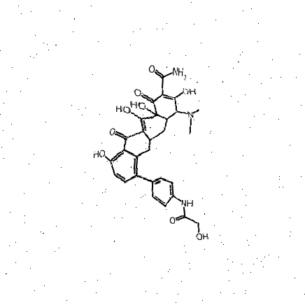 CN(C)C1C(O)=C(C(N)=O)C(=O)C2(O)C(O)=C3C(=O)c4c(O)ccc(-c5ccc(NC(=O)CO)cc5)c4CC3CC12